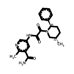 Cc1ncc(NC(=O)C(=O)N2C[C@@H](C)CC[C@@H]2c2ccccc2)cc1C(N)=O